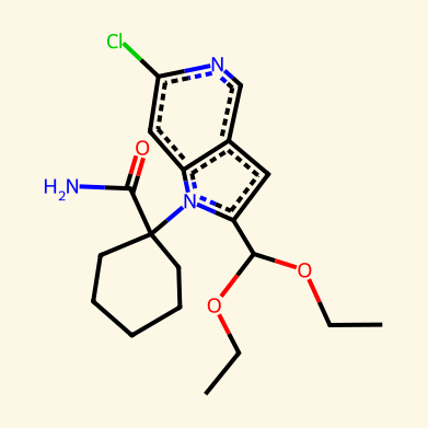 CCOC(OCC)c1cc2cnc(Cl)cc2n1C1(C(N)=O)CCCCC1